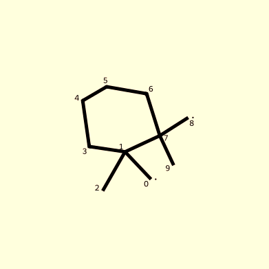 [CH2]C1(C)CCCCC1([CH2])C